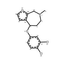 CN1CCC(Oc2ccc(Cl)c(Cl)c2)c2ccoc2C1